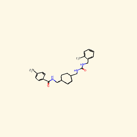 O=C(NCc1ccccc1C(F)(F)F)NCC1CCC(CNC(=O)c2ccc([N+](=O)[O-])cc2)CC1